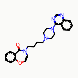 O=C1c2ccccc2OC=CN1CCCCN1CCN(c2ncnc3ccccc23)CC1